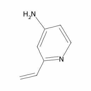 C=Cc1cc(N)ccn1